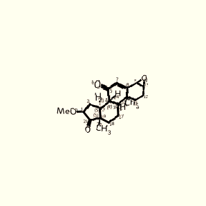 COC1C[C@H]2[C@@H]3C(=O)C=C4C5OC5CC[C@]4(C)[C@@H]3CC[C@]2(C)C1=O